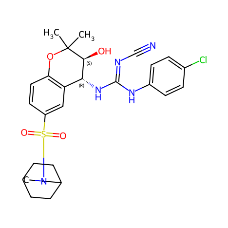 CC1(C)Oc2ccc(S(=O)(=O)N3CC4CCC(CC4)C3)cc2[C@@H](NC(=NC#N)Nc2ccc(Cl)cc2)[C@@H]1O